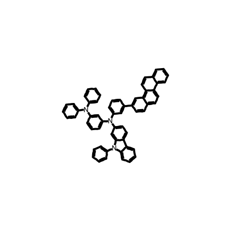 c1ccc(N(c2ccccc2)c2cccc(N(c3cccc(-c4ccc5ccc6c7ccccc7ccc6c5c4)c3)c3ccc4c5ccccc5n(-c5ccccc5)c4c3)c2)cc1